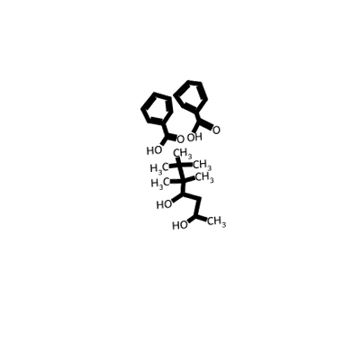 CC(O)CC(O)C(C)(C)C(C)(C)C.O=C(O)c1ccccc1.O=C(O)c1ccccc1